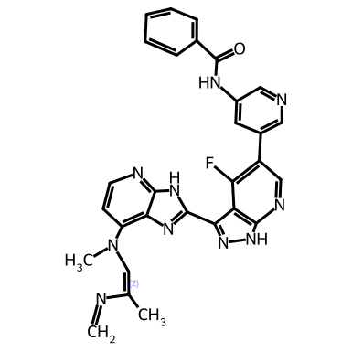 C=N/C(C)=C\N(C)c1ccnc2[nH]c(-c3n[nH]c4ncc(-c5cncc(NC(=O)c6ccccc6)c5)c(F)c34)nc12